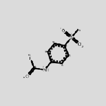 CS(=O)(=O)c1ccc(NC(=O)F)cc1